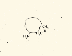 NC1CCCCCCCCCCC1.[CH3][Ti][CH3]